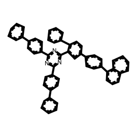 c1ccc(-c2ccc(-c3nc(-c4ccc(-c5ccccc5)cc4)nc(-c4cc(-c5ccc(-c6cccc7ccccc67)cc5)ccc4-c4ccccc4)n3)cc2)cc1